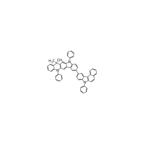 CC1(C)c2ccccc2N(c2ccccc2)c2cc3c4cc(-c5ccc6c(c5)c5c7ccccc7ccc5n6-c5ccccc5)ccc4n(-c4ccccc4)c3cc21